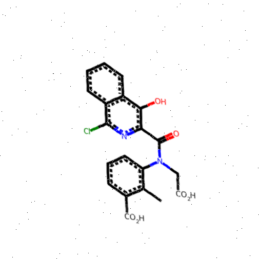 Cc1c(C(=O)O)cccc1N(CC(=O)O)C(=O)c1nc(Cl)c2ccccc2c1O